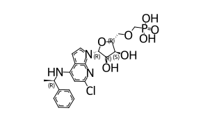 C[C@@H](Nc1cc(Cl)nc2c1ccn2[C@@H]1O[C@H](COCP(=O)(O)O)[C@@H](O)[C@H]1O)c1ccccc1